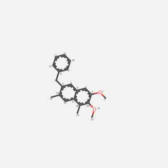 COc1cc2cc(Cc3ccccc3)c(C)cc2c(C)c1OC